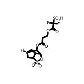 O=C(CCOC(=O)C(F)(F)S(=O)(=O)O)OC1C2OS(=O)(=O)C3C[C@@H]1CC23